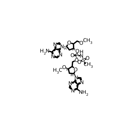 COCC1O[C@@H](n2cnc3c(N)ncnc32)C[C@H]1OP(=O)(NS(C)(=O)=O)OCC1O[C@@H](n2cnc3c(N)ncnc32)C[C@H]1OC